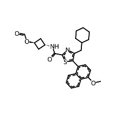 COc1ccc(-c2sc(C(=O)N[C@H]3C[C@H](OC=O)C3)nc2CC2CCCCC2)c2ccccc12